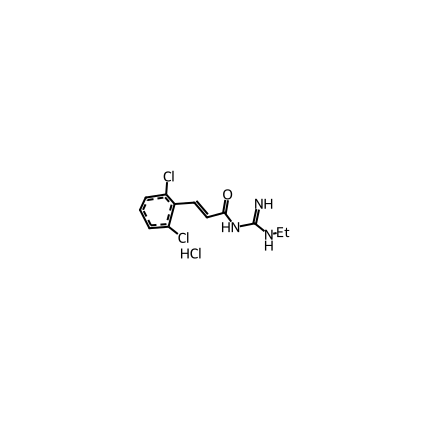 CCNC(=N)NC(=O)/C=C/c1c(Cl)cccc1Cl.Cl